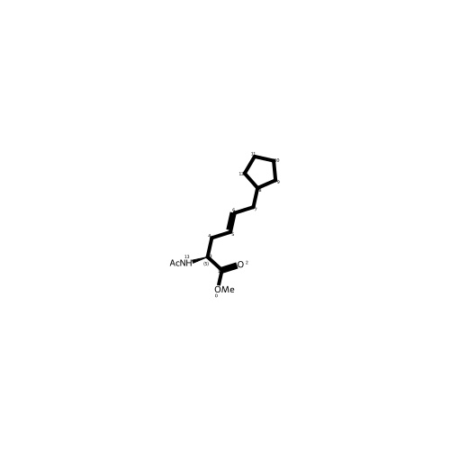 COC(=O)[C@H](CC=CCC1CCCC1)NC(C)=O